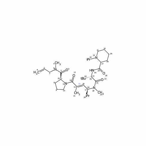 C=CCN(C)C(=O)[C@@H]1CCCN1C(=O)/C(C)=C/[C@H](C(C)C)N(C)C(=O)[C@@H](NC(=O)C1CCCCN1C(C)C)C(C)(C)C